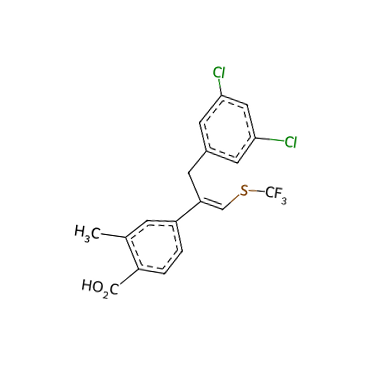 Cc1cc(/C(=C/SC(F)(F)F)Cc2cc(Cl)cc(Cl)c2)ccc1C(=O)O